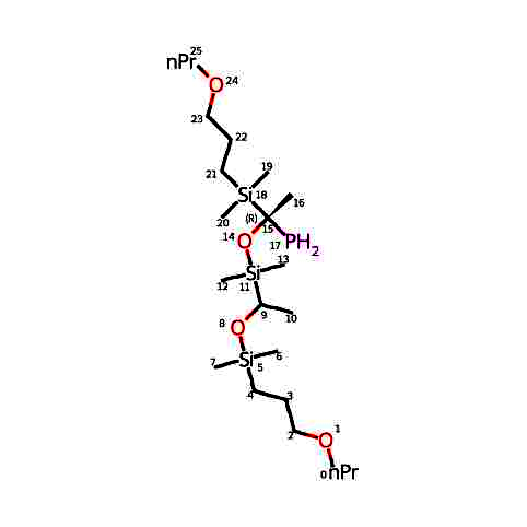 CCCOCCC[Si](C)(C)OC(C)[Si](C)(C)O[C@@](C)(P)[Si](C)(C)CCCOCCC